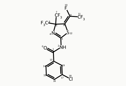 O=C(NC1=NC(C(F)(F)F)(C(F)(F)F)C(=C(F)C(F)(F)F)S1)c1cccc(Cl)c1